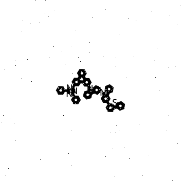 c1ccc(-c2nc(-c3ccccc3)nc(-c3ccc4c5ccccc5c5ccc(-n6c7ccccc7c7cc(-n8c9ccccc9c9cc(-c%10cccc%11c%10sc%10ccccc%10%11)ccc98)ccc76)cc5c4c3)n2)cc1